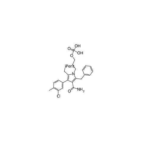 CCCC(C)Cc1c(-c2ccc(C)c(Cl)c2)c(C(N)=O)c(Cc2ccccc2)n1CCCOP(=O)(O)O